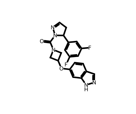 O=C(N1CC(Oc2ccc3cn[nH]c3c2)C1)N1N=CCC1c1cc(F)cc(F)c1